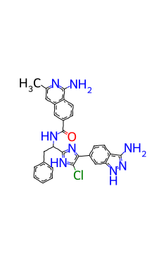 Cc1cc2cc(C(=O)NC(Cc3ccccc3)c3nc(-c4ccc5c(N)n[nH]c5c4)c(Cl)[nH]3)ccc2c(N)n1